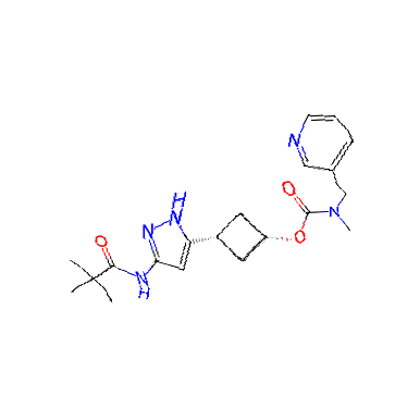 CN(Cc1cccnc1)C(=O)O[C@H]1C[C@@H](c2cc(NC(=O)C(C)(C)C)n[nH]2)C1